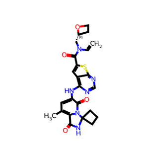 C=CN(C[C@H]1CCO1)C(=O)c1cc2c(Nc3cc(C)c4n(c3=O)C3(CCC3)NC4=O)ncnc2s1